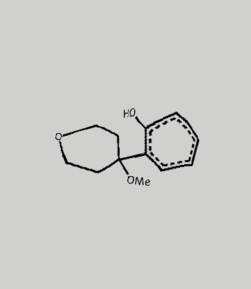 COC1(c2ccccc2O)CCOCC1